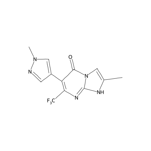 Cc1cn2c(=O)c(-c3cnn(C)c3)c(C(F)(F)F)nc2[nH]1